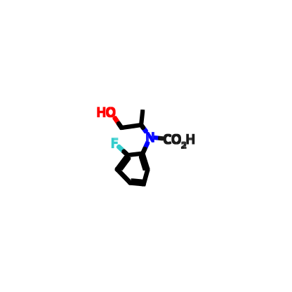 CC(CO)N(C(=O)O)c1ccccc1F